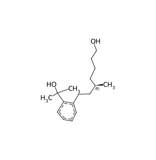 C[C@H](CCCCO)CCc1ccccc1C(C)(C)O